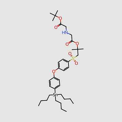 CCC[CH2][Sn]([CH2]CCC)([CH2]CCC)[c]1ccc(Oc2ccc(S(=O)(=O)CC(C)(C)OC(=O)CNCC(=O)OC(C)(C)C)cc2)cc1